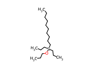 CCCCCCCCCC[Si](CCC)(CCC)OCCC